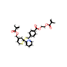 C=C(C)C(=O)OCCOC(=O)c1ccc(CSC2(c3ccccn3)CC(COC(=O)C(=C)C)=CCS2)cc1